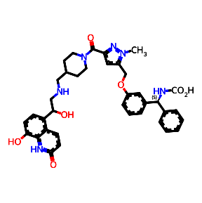 Cn1nc(C(=O)N2CCC(CNCC(O)c3ccc(O)c4[nH]c(=O)ccc34)CC2)cc1COc1cccc([C@@H](NC(=O)O)c2ccccc2)c1